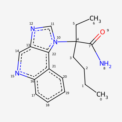 CCCCC(CC)(C(N)=O)n1cnc2cnc3ccccc3c21